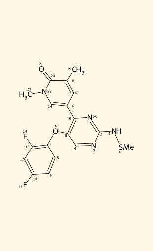 CSNc1ncc(Oc2ccc(F)cc2F)c(-c2cc(C)c(=O)n(C)c2)n1